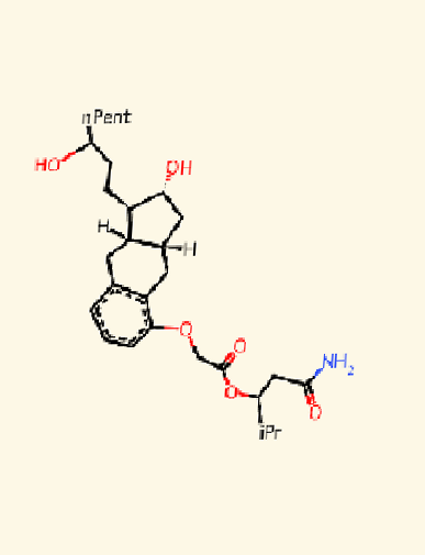 CCCCC[C@H](O)CC[C@@H]1[C@H]2Cc3cccc(OCC(=O)OC(CC(N)=O)C(C)C)c3C[C@H]2C[C@H]1O